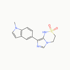 Cn1ccc2cc(-c3ncn4c3NS(=O)(=O)CC4)ccc21